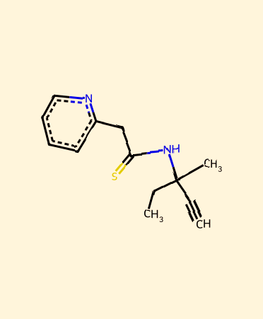 C#CC(C)(CC)NC(=S)Cc1ccccn1